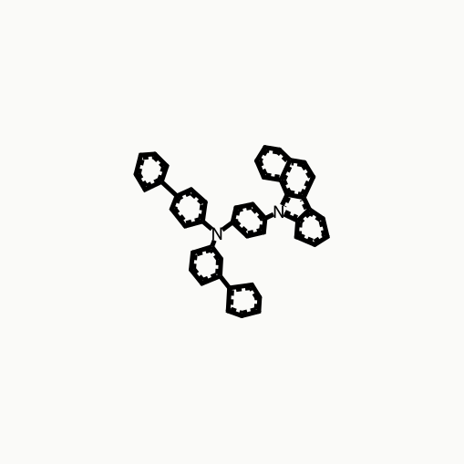 c1ccc(-c2ccc(N(c3ccc(-n4c5ccccc5c5ccc6ccccc6c54)cc3)c3cccc(-c4ccccc4)c3)cc2)cc1